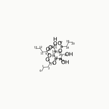 CCCC(=O)O[C@@H]([C@H](OC(=O)CCC)[C@@H](OC(=O)CCC)C(=O)O)[C@H](O)CO